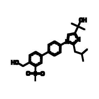 CC(C)Cc1nc(C(C)(C)O)cn1-c1ccc(-c2ccc(CO)c(S(C)(=O)=O)c2)cc1